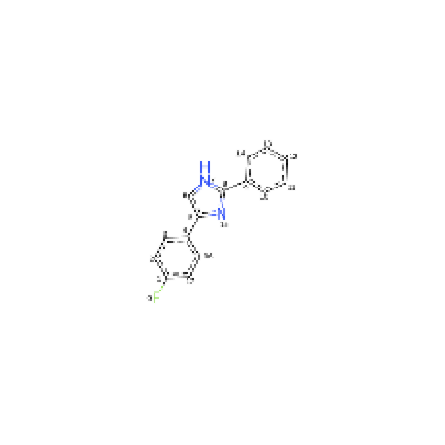 Fc1ccc(-c2c[nH]c(-c3cc[c]cc3)n2)cc1